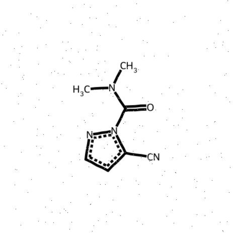 CN(C)C(=O)n1nccc1C#N